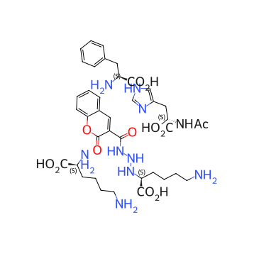 CC(=O)N[C@@H](Cc1c[nH]cn1)C(=O)O.NCCCC[C@H](N)C(=O)O.NCCCC[C@H](NNNC(=O)c1cc2ccccc2oc1=O)C(=O)O.N[C@@H](Cc1ccccc1)C(=O)O